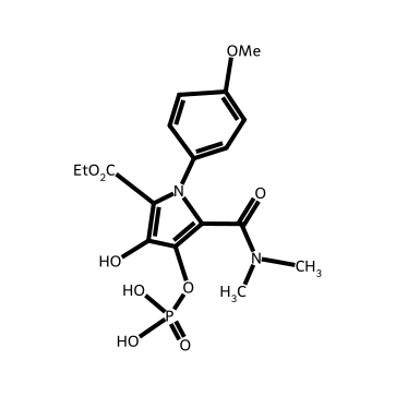 CCOC(=O)c1c(O)c(OP(=O)(O)O)c(C(=O)N(C)C)n1-c1ccc(OC)cc1